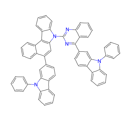 c1ccc(-n2c3ccccc3c3ccc(-c4nc(-n5c6ccccc6c6c7ccccc7c(-c7ccc8c9ccccc9n(-c9ccccc9)c8c7)cc65)nc5ccccc45)cc32)cc1